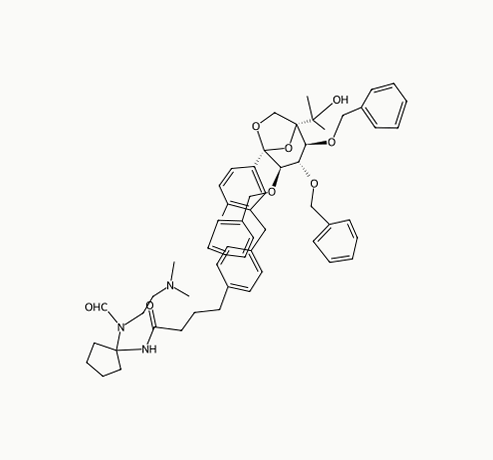 Cc1ccc([C@]23OC[C@](C(C)(C)O)(O2)[C@@H](OCc2ccccc2)[C@H](OCc2ccccc2)[C@H]3OCc2ccccc2)cc1Cc1ccc(CCCC(=O)NC2(N(C=O)CCN(C)C)CCCC2)cc1